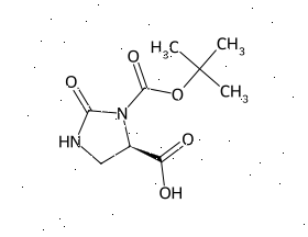 CC(C)(C)OC(=O)N1C(=O)NC[C@@H]1C(=O)O